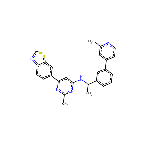 Cc1cc(-c2cccc(C(C)Nc3cc(-c4ccc5ncsc5c4)nc(C)n3)c2)ccn1